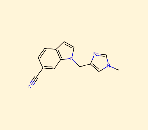 Cn1cnc(Cn2ccc3ccc(C#N)cc32)c1